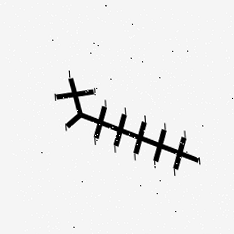 I[C](C(I)(I)I)C(I)(I)C(I)(I)C(I)(I)C(I)(I)C(I)(I)I